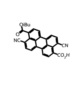 CC(C)COC(=O)c1ccc2c3ccc(C#N)c4c(C(=O)O)ccc(c5ccc(C#N)c1c52)c43